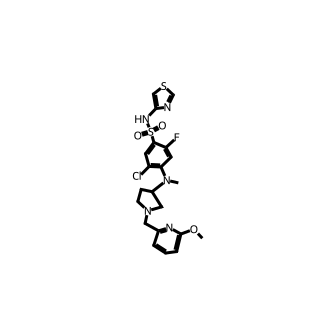 COc1cccc(CN2CCC(N(C)c3cc(F)c(S(=O)(=O)Nc4cscn4)cc3Cl)C2)n1